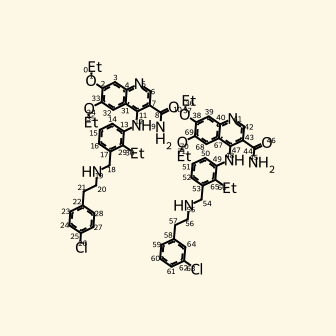 CCOc1cc2ncc(C(N)=O)c(Nc3cccc(CNCCc4ccc(Cl)cc4)c3CC)c2cc1OCC.CCOc1cc2ncc(C(N)=O)c(Nc3cccc(CNCCc4cccc(Cl)c4)c3CC)c2cc1OCC